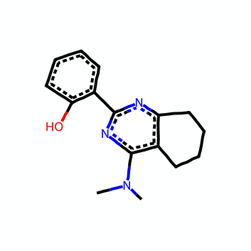 CN(C)c1nc(-c2ccccc2O)nc2c1CCCC2